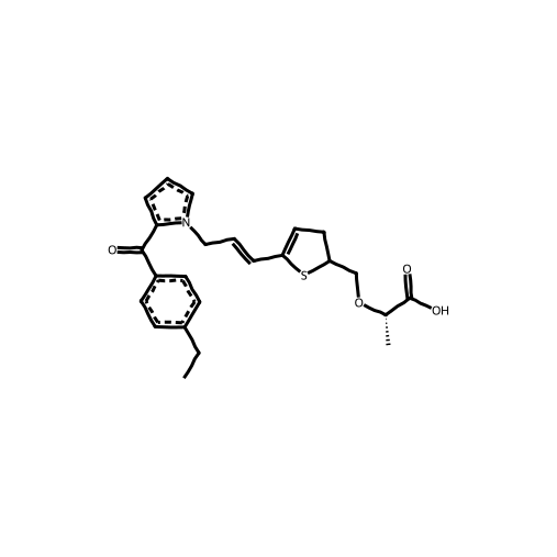 CCc1ccc(C(=O)c2cccn2C/C=C/C2=CCC(CO[C@@H](C)C(=O)O)S2)cc1